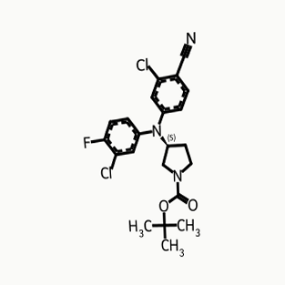 CC(C)(C)OC(=O)N1CC[C@H](N(c2ccc(F)c(Cl)c2)c2ccc(C#N)c(Cl)c2)C1